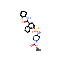 CC(C)(C)OC(=O)N1CCC(NS(=O)(=O)c2ccc(C(=O)Nc3ccccc3Cl)c3ccccc23)CC1